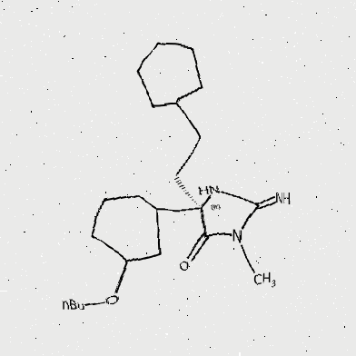 CCCCOC1CCCC([C@@]2(CCC3CCCCC3)NC(=N)N(C)C2=O)C1